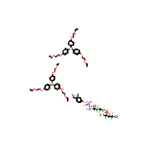 C=COCCOc1ccc([S+](c2ccc(OCCOC=C)cc2)c2ccc(OCCOC=C)cc2)cc1.C=COCCOc1ccc([S+](c2ccc(OCCOC=C)cc2)c2ccc(OCCOC=C)cc2)cc1.CCN(CC)CC.O=C(O)Cc1ccc(O)cc1.O=S(=O)([O-])C(F)(C(F)(F)C(F)(F)C(F)(F)F)S(=O)(=O)O.O=S(=O)([O-])C(F)(C(F)(F)C(F)(F)C(F)(F)F)S(=O)(=O)O